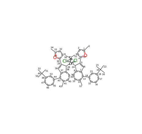 Cc1ccc(C2=Cc3c(ccc(C)c3-c3cccc(C(C)(C)C)c3)[CH]2[Zr]([Cl])([Cl])([CH]2C(c3ccc(C)o3)=Cc3c2ccc(C)c3-c2cccc(C(C)(C)C)c2)=[Si](C)C)o1